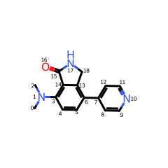 CN(C)c1ccc(-c2ccncc2)c2c1C(=O)NC2